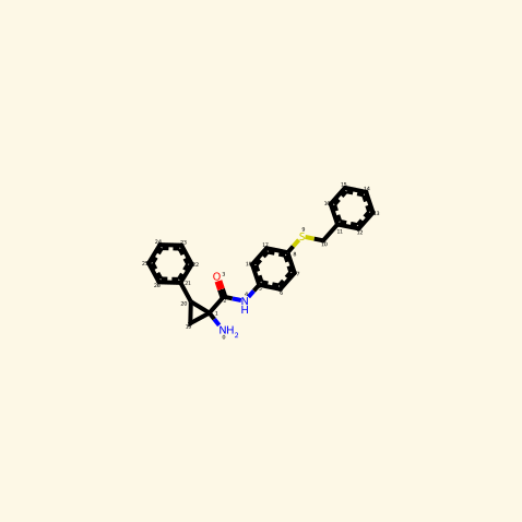 NC1(C(=O)Nc2ccc(SCc3ccccc3)cc2)CC1c1ccccc1